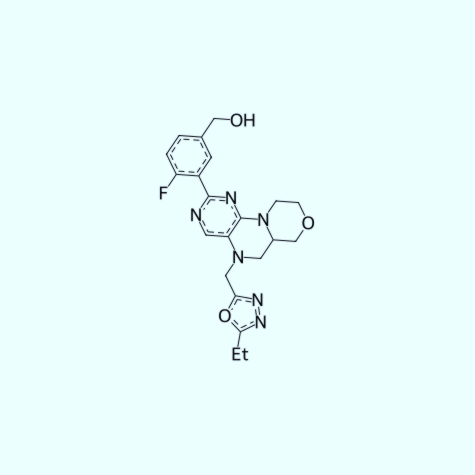 CCc1nnc(CN2CC3COCCN3c3nc(-c4cc(CO)ccc4F)ncc32)o1